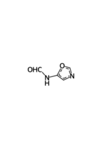 O=CNc1cnco1